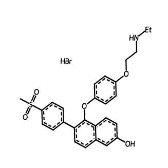 Br.CCNCCOc1ccc(Oc2c(-c3ccc(S(C)(=O)=O)cc3)ccc3cc(O)ccc23)cc1